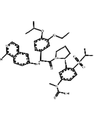 CCOc1cc([C@@H](Nc2ccc3c(N)nccc3c2)C(=O)N2CCC[C@H]2c2cc(N(C)C(=O)O)ccc2S(=O)(=O)C(C)C)ccc1OC(C)C